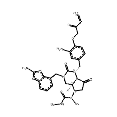 C=CC(=O)COc1ccc(C[C@H]2C(=O)N(Cc3cccc4sc(N)nc34)C[C@H]3N2C(=O)CN3N(CCC)C(=O)NCCCC)cc1N